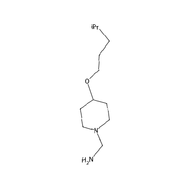 CC(C)CCCOC1CCN(CN)CC1